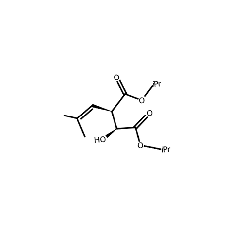 CC(C)=C[C@@H](C(=O)OC(C)C)[C@H](O)C(=O)OC(C)C